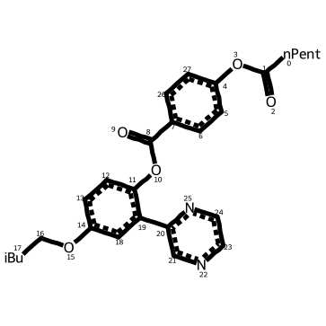 CCCCCC(=O)Oc1ccc(C(=O)Oc2ccc(OCC(C)CC)cc2-c2cnccn2)cc1